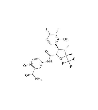 C[C@H]1[C@H](c2ccc(F)c(F)c2O)[C@@H](C(=O)Nc2cc[n+]([O-])c(C(N)=O)c2)O[C@@]1(C)C(F)(F)F